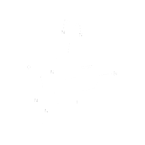 Cc1c2c(nn1C)C(=O)N(c1ccn3ccnc3c1)C2c1ccc(Br)cc1F